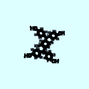 Cc1cc(C(c2ccc(O)cc2)c2ccc(O)cc2)c(C)cc1C(c1ccc(O)cc1)c1ccc(O)cc1